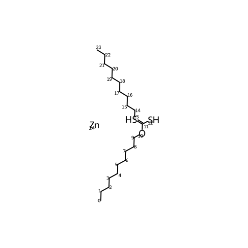 CCCCCCCCCCOC(S)=[SH]CCCCCCCCCC.[Zn]